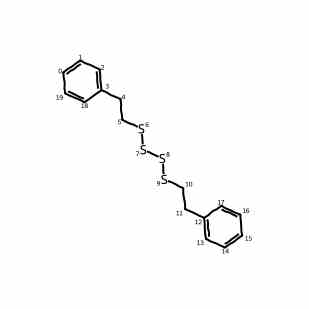 c1ccc(CCSSSSCCc2ccccc2)cc1